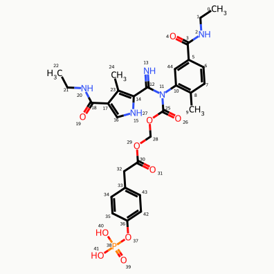 CCNC(=O)c1ccc(C)c(N(C(=N)c2[nH]cc(C(=O)NCC)c2C)C(=O)OCOC(=O)Cc2ccc(OP(=O)(O)O)cc2)c1